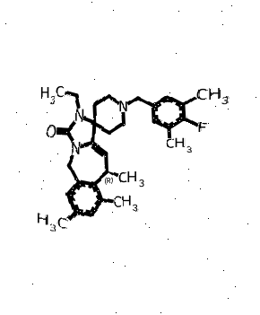 CCN1C(=O)N2Cc3cc(C)cc(C)c3[C@H](C)C=C2C12CCN(Cc1cc(C)c(F)c(C)c1)CC2